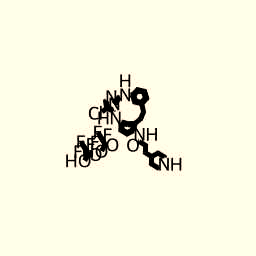 O=C(CCC1CCNCC1)Nc1ccc2cc1CCc1cccc(c1)Nc1ncc(Cl)c(n1)N2.O=C(O)C(F)(F)F.O=C(O)C(F)(F)F